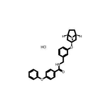 CN1[C@@H]2CC[C@H]1C[C@H](Oc1cccc(CNC(=O)c3ccc(Oc4ccccc4)cc3)c1)C2.Cl